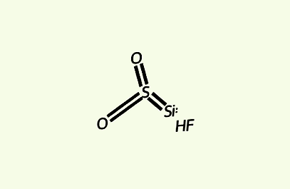 F.O=S(=O)=[Si]